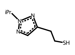 CC(C)n1ncc(CCS)n1